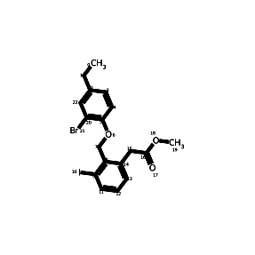 CCc1ccc(OCc2c(I)cccc2CC(=O)OC)c(Br)c1